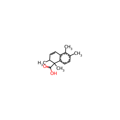 Cc1ccc2c(c1C)C=CC(C)C2(C)C(=O)O